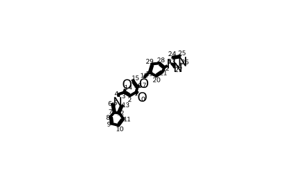 O=c1cc(Cn2cc3ccccc3c2)occ1OCc1ccc(-n2ccnn2)cc1